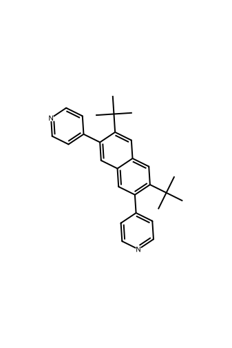 CC(C)(C)c1cc2cc(C(C)(C)C)c(-c3ccncc3)cc2cc1-c1ccncc1